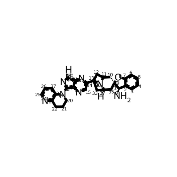 N[C@@H]1c2ccccc2O[C@@]12CC1CC3(c4cnc5c(N6CCCc7ncccc76)n[nH]c5n4)C[C@H](C2)N13